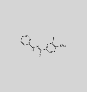 CSc1ccc(C(Cl)=NNc2ccccc2)cc1F